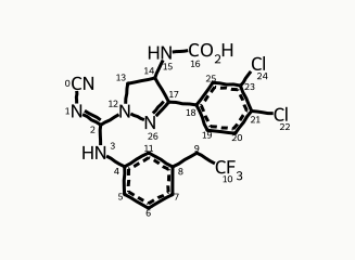 N#C/N=C(/Nc1cccc(CC(F)(F)F)c1)N1CC(NC(=O)O)C(c2ccc(Cl)c(Cl)c2)=N1